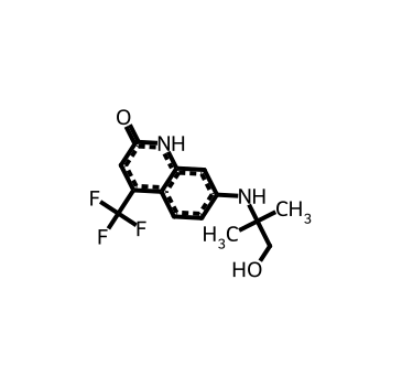 CC(C)(CO)Nc1ccc2c(C(F)(F)F)cc(=O)[nH]c2c1